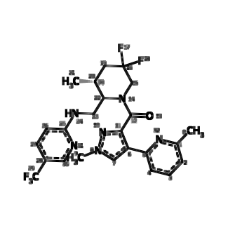 Cc1cccc(-c2cn(C)nc2C(=O)N2CC(F)(F)C[C@@H](C)C2CNc2ccc(C(F)(F)F)cn2)n1